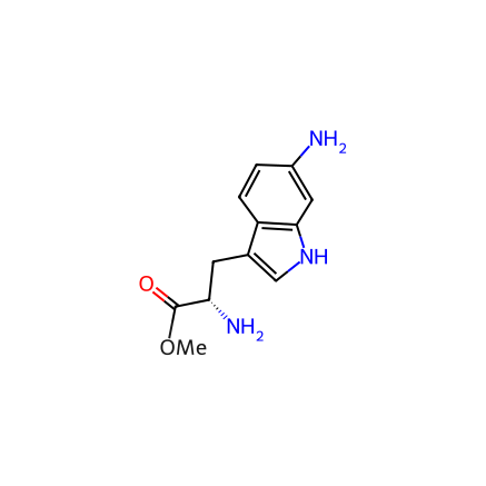 COC(=O)[C@@H](N)Cc1c[nH]c2cc(N)ccc12